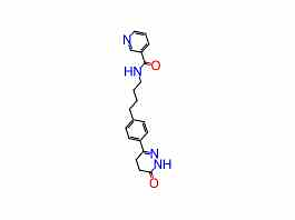 O=C1CCC(c2ccc(CCCCNC(=O)c3cccnc3)cc2)=NN1